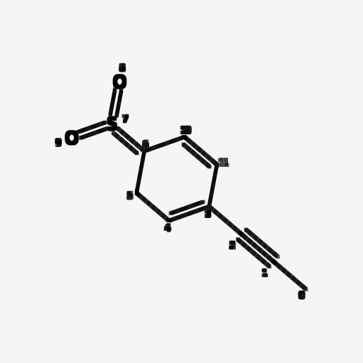 CC#CC1=CCC(=S(=O)=O)C=C1